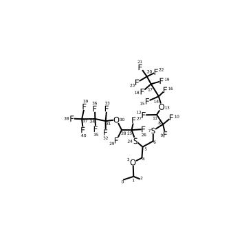 CC(C)OCC(CSC(F)(F)C(F)OC(F)(F)C(F)(F)C(F)(F)F)SC(F)(F)C(F)OC(F)(F)C(F)(F)C(F)(F)F